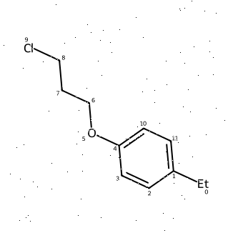 CCc1ccc(OCCCCl)cc1